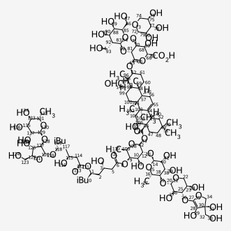 CC[C@H](C)[C@H](C[C@H](O)CC(=O)O[C@@H]1[C@H](O)[C@@H](O[C@@H]2O[C@@H](C)[C@H](O[C@@H]3OC[C@@H](O)[C@H](OC4=C(O)[C@@](O)(CO)CO4)[C@H]3O)[C@@H](O)[C@H]2O)[C@H](OC(=O)[C@]23CCC(C)(C)C[C@H]2C2=CC[C@@H]4[C@@]5(C)CC[C@H](O[C@@H]6O[C@H](C(=O)O)[C@@H](O)[C@H](O[C@@H]7OC[C@@H](O)[C@H](O)[C@H]7O)[C@H]6O[C@@H]6O[C@H](CO)[C@H](O)[C@H](O)[C@H]6CO)[C@@](C)(C=O)[C@@H]5CC[C@@]4(C)[C@]2(C)C[C@H]3O)O[C@@H]1C)OC(=O)C[C@@H](O)C[C@H](O[C@@H]1O[C@@H](CO)[C@H](O)[C@H]1O[C@@H]1O[C@@H](C)[C@H](O)[C@@H](O)[C@H]1O)[C@@H](C)CC